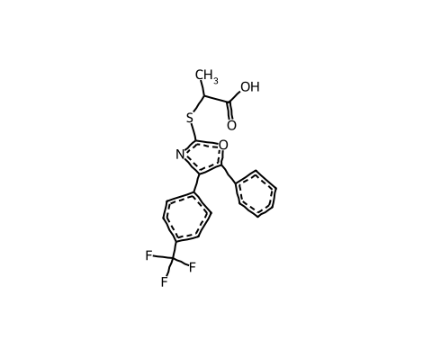 CC(Sc1nc(-c2ccc(C(F)(F)F)cc2)c(-c2ccccc2)o1)C(=O)O